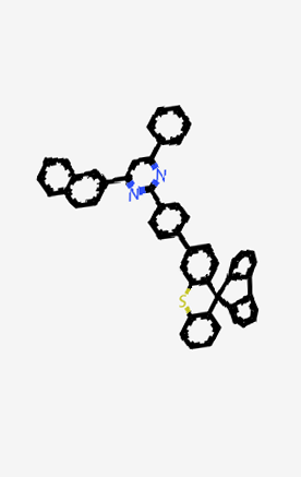 c1ccc(-c2cc(-c3ccc4ccccc4c3)nc(-c3ccc(-c4ccc5c(c4)Sc4ccccc4C54c5ccccc5-c5ccccc54)cc3)n2)cc1